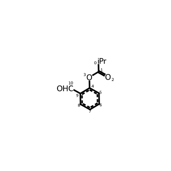 CC(C)C(=O)Oc1ccccc1C=O